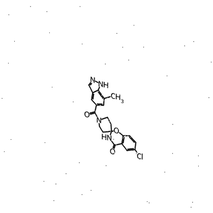 Cc1cc(C(=O)N2CCC3(CC2)NC(=O)c2cc(Cl)ccc2O3)cc2cn[nH]c12